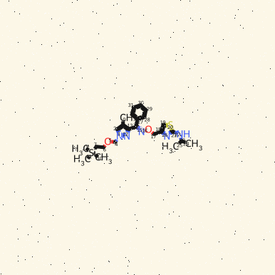 Cc1cn(COCC[Si](C)(C)C)nc1/C(=N/OCc1csc(NC(C)C)n1)c1ccccc1